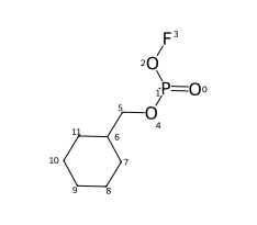 O=[P](OF)OCC1CCCCC1